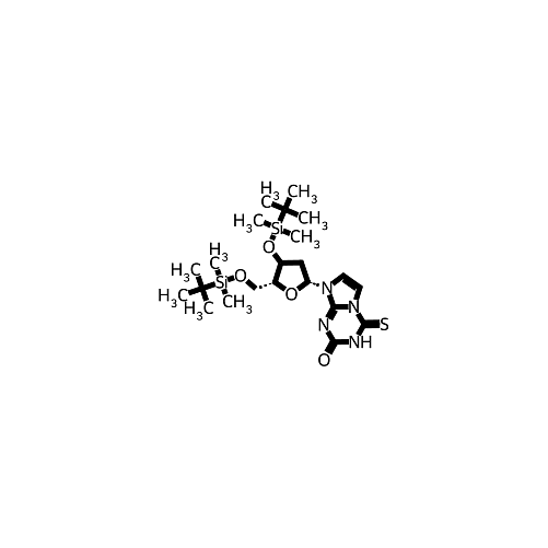 CC(C)(C)[Si](C)(C)OC[C@H]1O[C@@H](n2ccn3c(=S)[nH]c(=O)nc23)CC1O[Si](C)(C)C(C)(C)C